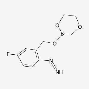 N=Nc1ccc(F)cc1COB1COCCO1